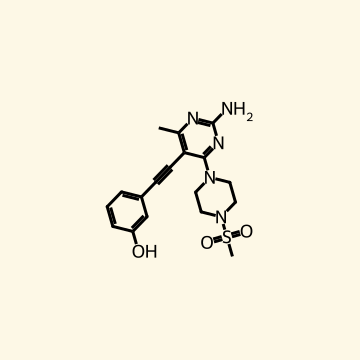 Cc1nc(N)nc(N2CCN(S(C)(=O)=O)CC2)c1C#Cc1cccc(O)c1